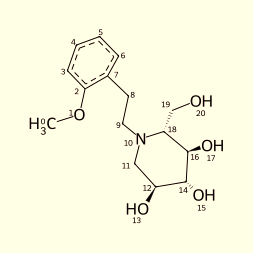 COc1ccccc1CCN1C[C@H](O)[C@@H](O)[C@H](O)[C@H]1CO